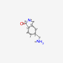 NCc1ccc2c(c1)C=NC2=O